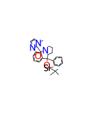 Cn1ccnc1C(=O)N1CCCC1C(O[Si](C)(C)C(C)(C)C)(c1ccccc1)c1ccccc1